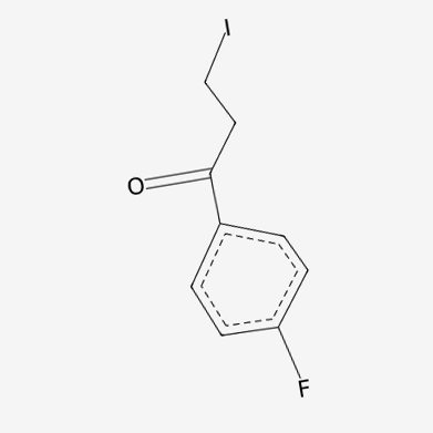 O=C(CCI)c1ccc(F)cc1